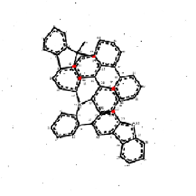 CC1(C)c2ccccc2-c2ccc(N(c3ccccc3-c3ccc4oc5ccccc5c4c3)c3ccccc3-c3cccc4cccc(-c5ccccc5)c34)cc21